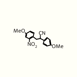 COc1ccc(C(C#N)Cc2ccc(OC)cc2[N+](=O)[O-])cc1